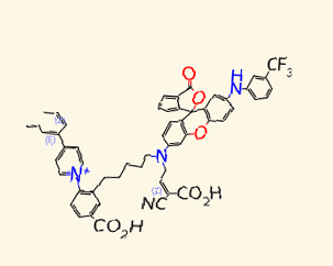 C=C/C=C(\C=C/C)c1cc[n+](-c2ccc(C(=O)O)cc2CCCCCN(C/C=C(/C#N)C(=O)O)c2ccc3c(c2)Oc2ccc(Nc4cccc(C(F)(F)F)c4)cc2C32OC(=O)c3ccccc32)cc1